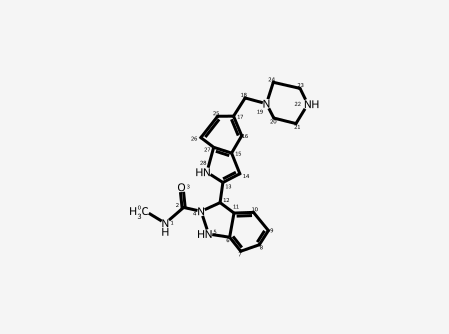 CNC(=O)N1Nc2ccccc2C1c1cc2cc(CN3CCNCC3)ccc2[nH]1